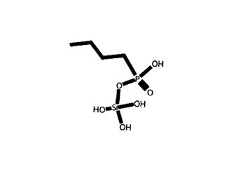 CCCCP(=O)(O)O[Si](O)(O)O